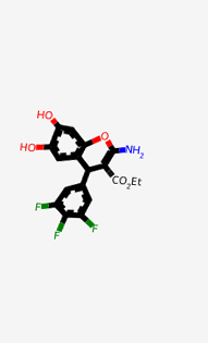 CCOC(=O)C1=C(N)Oc2cc(O)c(O)cc2C1c1cc(F)c(F)c(F)c1